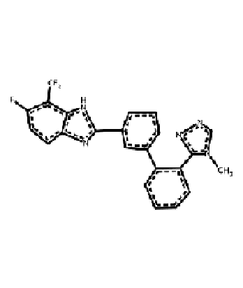 Cn1cnnc1-c1ccccc1-c1cccc(-c2nc3ccc(F)c(C(F)(F)F)c3[nH]2)c1